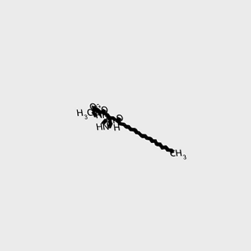 CCC=CCC=CCC=CCC=CCC=CCC=CCCC(=O)NCC(CNC(=O)c1c[n+]([O-])c(C)cn1)N1CCNCC1